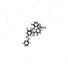 CC1=C(C(=O)O)CC(C(=O)O)(c2cccc(C)c2COc2ccc(OCc3ccccc3)cc2C)C=C1